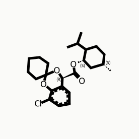 CC(C)C1CC[C@H](C)C[C@@H]1OC(=O)[C@@H]1OC2(CCCCC2)Oc2c(Cl)cccc21